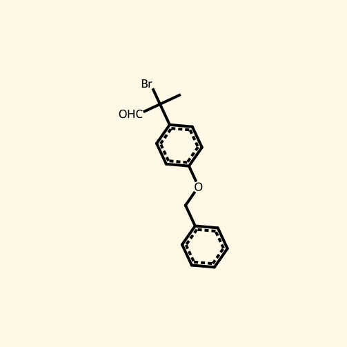 CC(Br)(C=O)c1ccc(OCc2ccccc2)cc1